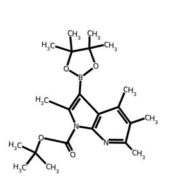 Cc1nc2c(c(C)c1C)c(B1OC(C)(C)C(C)(C)O1)c(C)n2C(=O)OC(C)(C)C